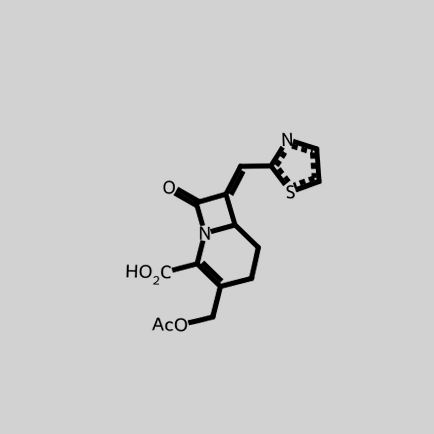 CC(=O)OCC1=C(C(=O)O)N2C(=O)/C(=C/c3nccs3)C2CC1